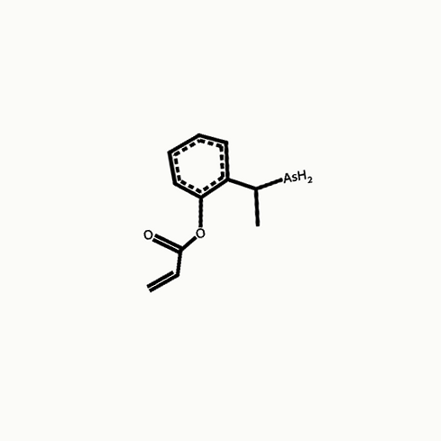 C=CC(=O)Oc1ccccc1C(C)[AsH2]